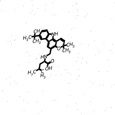 CC(C)CC(NCc1cc2c([nH]c3ccc(C(C)(C)C)cc32)c2c1OC(C)(C)C=C2)C(=O)O